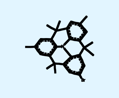 Cc1cc2c3c(c1)C(C)(C)c1cc(Br)cc4c1N3c1c(cc(C)cc1C4(C)C)C2(C)C